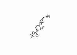 CC(C)(C)OC(=O)N1CC[C@@H](N2CC(=CC#N)C2)[C@@H](F)C1